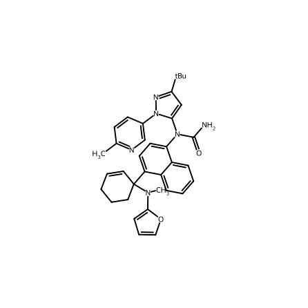 Cc1ccc(-n2nc(C(C)(C)C)cc2N(C(N)=O)c2ccc(C3(N(C)c4ccco4)C=CCCC3)c3ccccc23)cn1